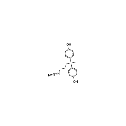 CC(CCCN=[N+]=[N-])(c1ccc(O)cc1)c1ccc(O)cc1